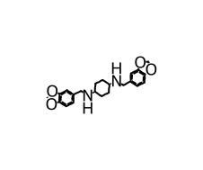 c1cc2c(cc1CN[C@H]1CC[C@H](NCc3ccc4c(c3)OCO4)CC1)OCO2